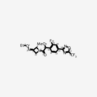 CCON=C1CN(C(=O)C(OC)c2ccc(-c3noc(C(F)(F)F)n3)cc2F)C1